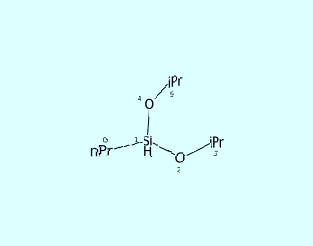 [CH2]CC[SiH](OC(C)C)OC(C)C